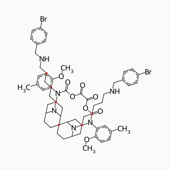 COc1ccc(C)cc1N(C(=O)OC(=O)C(=O)OC(=O)N(c1cc(C)ccc1OC)C1CC2CCCC(C1)N2CCCCCCNCc1ccc(Br)cc1)C1CC2CCCC(C1)N2CCCCCCNCc1ccc(Br)cc1